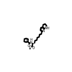 COC(=O)[C@H](CCCCCCCc1ccc2c(n1)NCCC2)NC(=O)C1CC2CCC1O2